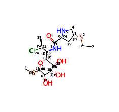 CCS[C@H]1CN[C@H](C(=O)N[C@@H]([C@H]2O[C@H](SC)C(O)[C@@H](O)[C@H]2O)[C@H](C)Cl)C1